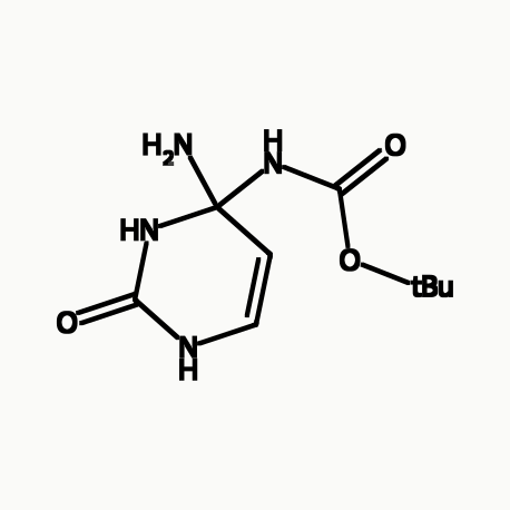 CC(C)(C)OC(=O)NC1(N)C=CNC(=O)N1